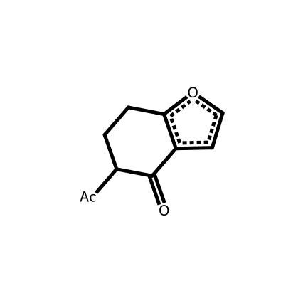 CC(=O)C1CCc2occc2C1=O